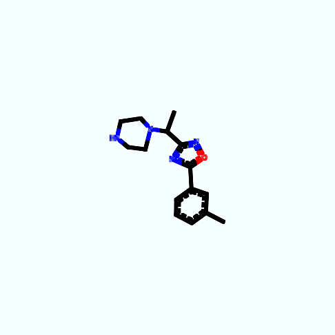 Cc1cccc(-c2nc(C(C)N3CCNCC3)no2)c1